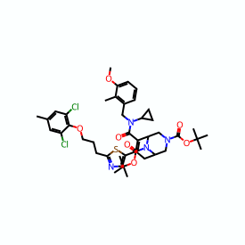 COc1cccc(CN(C(=O)C2=C(c3cnc(CCCOc4c(Cl)cc(C)cc4Cl)s3)CC3CN(C(=O)OC(C)(C)C)CC2N3C(=O)OC(C)(C)C)C2CC2)c1C